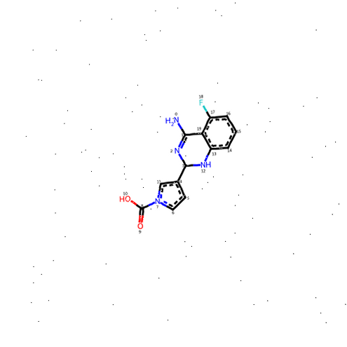 NC1=NC(c2ccn(C(=O)O)c2)Nc2cccc(F)c21